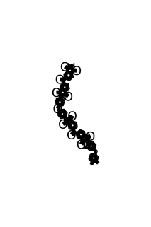 Cc1ccc(Cc2ccc(N3C(=O)c4ccc(C(=O)c5ccc6c(c5)C(=O)N(c5ccc(Oc7ccc(N8C(=O)c9ccc(C(=O)C%10=CC%11C(=O)N(C)C(=O)C%11C=C%10)cc9C8=O)cc7)cc5)C6=O)cc4C3=O)c(C)c2)cc1C